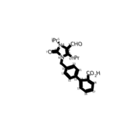 CCCc1c(C=O)n(C(C)C)c(=O)n1Cc1ccc(-c2ccccc2C(=O)O)cc1